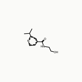 CC(C)c1cc(C(=O)NCCO)ccn1